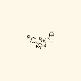 O=C(Cn1cnc2onc(-c3ccc(Cl)cc3)c2c1=O)N1CCCC1